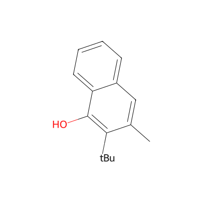 Cc1cc2ccccc2c(O)c1C(C)(C)C